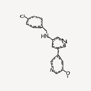 COc1cncc(-c2cncc(NCc3ccc(Cl)cc3)c2)c1